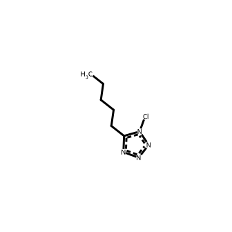 CCCCCc1nnnn1Cl